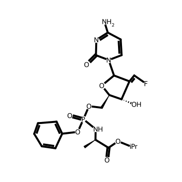 CC(C)OC(=O)[C@@H](C)NP(=O)(OC[C@H]1OC(n2ccc(N)nc2=O)/C(=C/F)[C@@H]1O)Oc1ccccc1